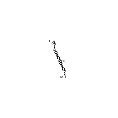 C=CC(=O)OCCCCOc1ccc(/N=N/c2ccc(/N=N/c3ccc(/N=N/c4ccc(OCCCCOC(C)=O)cc4)cc3C)cc2)cc1